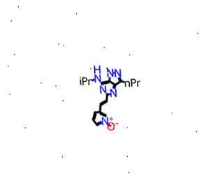 CCCc1nn(C)c2c(NC(C)C)nc(C=Cc3ccc[n+]([O-])c3)nc12